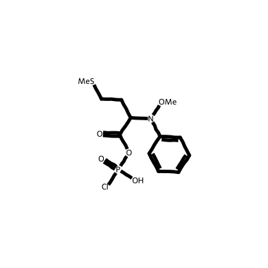 CON(c1ccccc1)C(CCSC)C(=O)OP(=O)(O)Cl